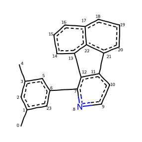 Cc1cc(C)cc(-c2nccc3c2-c2cccc4cccc-3c24)c1